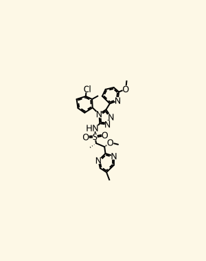 COc1cccc(-c2nnc(NS(=O)(=O)[C@@H](C)[C@H](OC)c3ncc(C)cn3)n2-c2cccc(Cl)c2C)n1